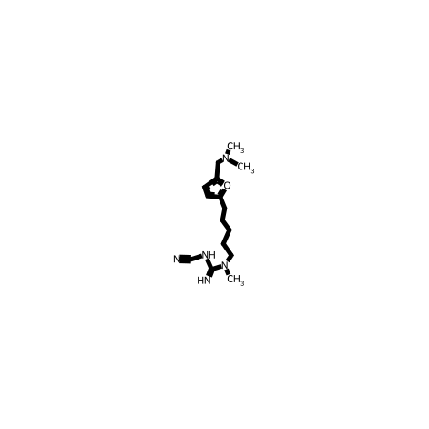 CN(C)Cc1ccc(CCCCCN(C)C(=N)NC#N)o1